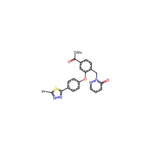 COC(=O)c1ccc(Cn2ncccc2=O)c(Oc2ccc(-c3nnc(C(C)C)s3)cc2)c1